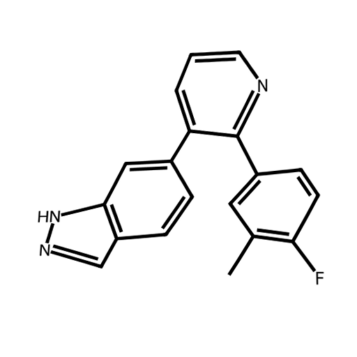 Cc1cc(-c2ncccc2-c2ccc3cn[nH]c3c2)ccc1F